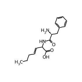 CCC/C=C/C(NC(=O)[C@@H](N)Cc1ccccc1)C(=O)O